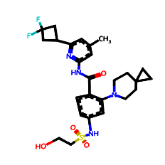 Cc1cc(NC(=O)c2ccc(NS(=O)(=O)CCO)cc2N2CCC3(CC2)CC3)nc(C2CC(F)(F)C2)c1